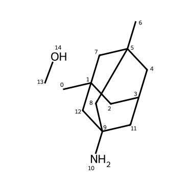 CC12CC3CC(C)(C1)CC(N)(C3)C2.CO